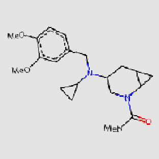 CNC(=O)N1CC(N(Cc2ccc(OC)c(OC)c2)C2CC2)CC2CC21